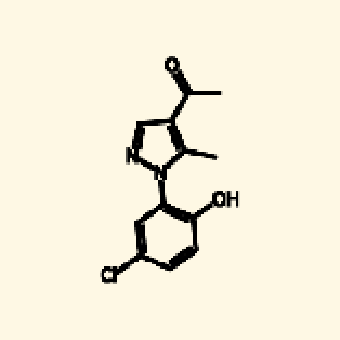 CC(=O)c1cnn(-c2cc(Cl)ccc2O)c1C